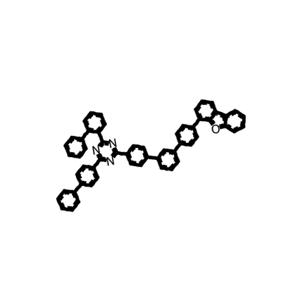 c1ccc(-c2ccc(-c3nc(-c4ccc(-c5cccc(-c6ccc(-c7cccc8c7oc7ccccc78)cc6)c5)cc4)nc(-c4ccccc4-c4ccccc4)n3)cc2)cc1